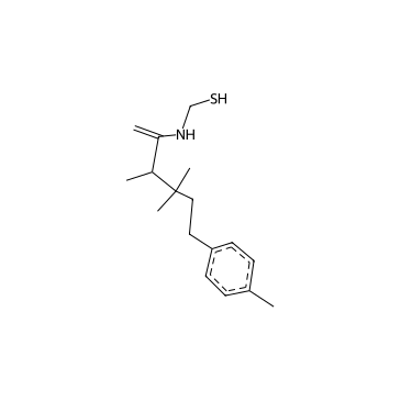 C=C(NCS)C(C)C(C)(C)CCc1ccc(C)cc1